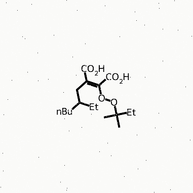 CCCCC(CC)CC(C(=O)O)=C(OOC(C)(C)CC)C(=O)O